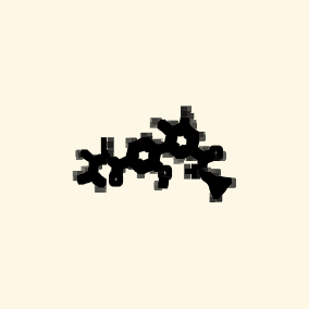 COc1cc(C(=O)N[C@H](C)C(C)C)ccc1-c1cc(C(=O)NC2CC2)cc(F)c1C